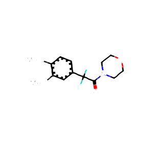 COc1ccc(C(F)(F)C(=O)N2CCOCC2)cc1OC